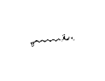 C=CC(=O)OCCCCCCCCCC1CO1